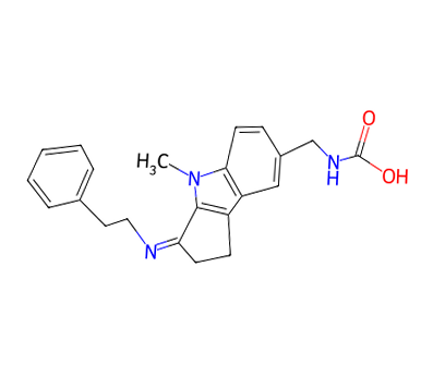 Cn1c2c(c3cc(CNC(=O)O)ccc31)CCC2=NCCc1ccccc1